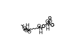 CC(C)COC(C)ONC(=O)CCCCCCC(=O)Nc1ccc(CN[C@@H](C(=O)OC2CCCC2)c2ccccc2)cc1